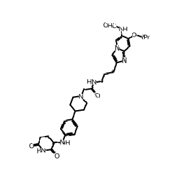 CC(C)Oc1cc2nc(CCCNC(=O)CN3CCC(c4ccc(NC5CCC(=O)NC5=O)cc4)CC3)cn2cc1NC=O